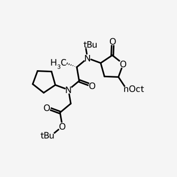 CCCCCCCCC1CC(N([C@@H](C)C(=O)N(CC(=O)OC(C)(C)C)C2CCCC2)C(C)(C)C)C(=O)O1